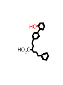 O=C(O)C(CCCc1ccccc1)CCc1ccc(-c2ccccc2O)cc1